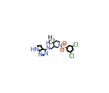 CC1CCN(S(=O)(=O)c2cc(Cl)cc(Cl)c2)CC1CNc1ncnc2[nH]ccc12